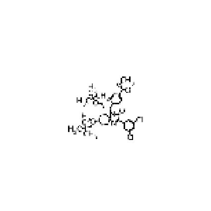 COC(=O)c1ccc([C@@H](CCOC(C)(C)C)N2C(=O)C(c3cc(Cl)cc(Cl)c3)=NC23CCC(OCC(C)(C)C)CC3)cc1